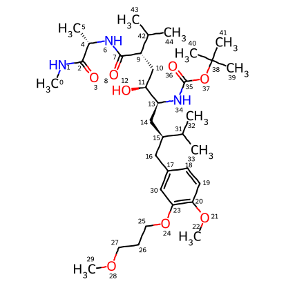 CNC(=O)[C@H](C)NC(=O)[C@@H](C[C@H](O)[C@H](C[C@H](Cc1ccc(OC)c(OCCCOC)c1)C(C)C)NC(=O)OC(C)(C)C)C(C)C